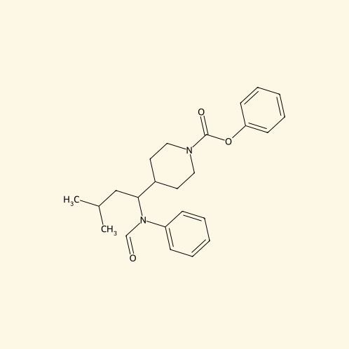 CC(C)CC(C1CCN(C(=O)Oc2ccccc2)CC1)N(C=O)c1ccccc1